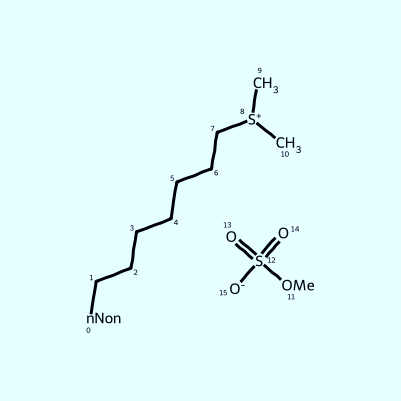 CCCCCCCCCCCCCCCC[S+](C)C.COS(=O)(=O)[O-]